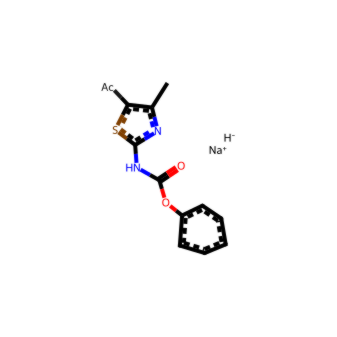 CC(=O)c1sc(NC(=O)Oc2ccccc2)nc1C.[H-].[Na+]